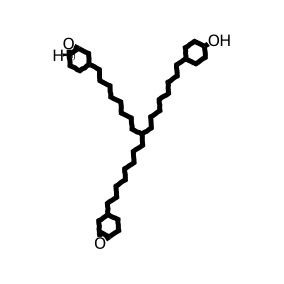 OC1CCC(CCCCCCCCC(CCCCCCCCC2CCC3OC3C2)CCCCCCCCC2CC[C@@H]3OC3C2)CC1